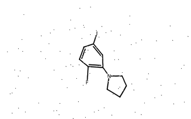 Fc1ccc(I)cc1N1CCCC1